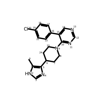 Cc1[nH]cnc1C1CCN(c2ncncc2-c2ccc(Cl)cc2)CC1